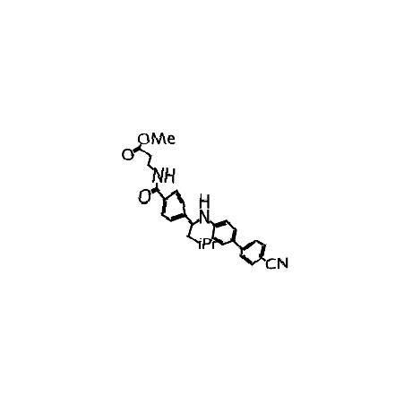 COC(=O)CCNC(=O)c1ccc(C(CC(C)C)Nc2ccc(-c3ccc(C#N)cc3)cc2)cc1